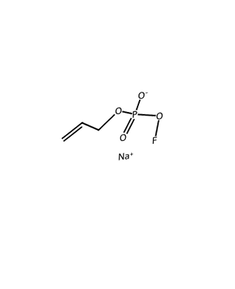 C=CCOP(=O)([O-])OF.[Na+]